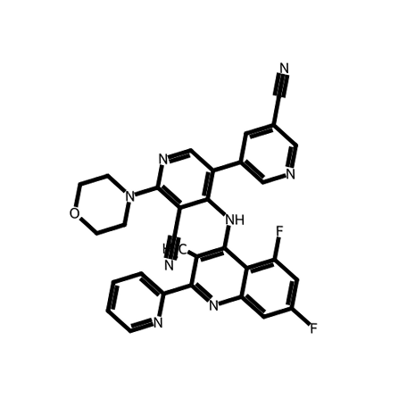 Cc1c(-c2ccccn2)nc2cc(F)cc(F)c2c1Nc1c(-c2cncc(C#N)c2)cnc(N2CCOCC2)c1C#N